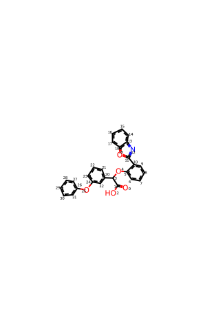 O=C(O)C(Oc1ccccc1-c1nc2ccccc2o1)c1cccc(Oc2ccccc2)c1